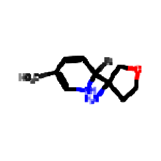 CCC1(C2(N)CCOC2)C=CC(C(=O)O)=CN1